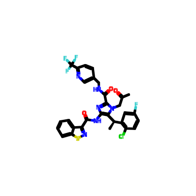 CC(=O)Cn1c(C(=O)NCc2ccc(C(F)(F)F)nc2)nc(NC(=O)c2nsc3ccccc23)c1[C@H](C)c1cc(F)ccc1Cl